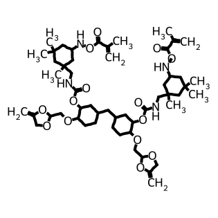 C=C1COC(COC2CCC(CC3CCC(OCC4OCC(=C)O4)C(OC(=O)NCC4(C)CC(NOC(=O)C(=C)C)CC(C)(C)C4)C3)CC2OC(=O)NCC2(C)CC(NOC(=O)C(=C)C)CC(C)(C)C2)O1